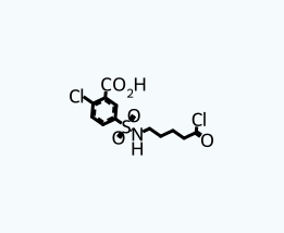 O=C(Cl)CCCCNS(=O)(=O)c1ccc(Cl)c(C(=O)O)c1